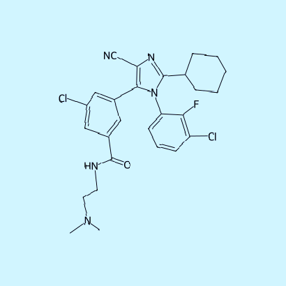 CN(C)CCNC(=O)c1cc(Cl)cc(-c2c(C#N)nc(C3CCCCC3)n2-c2cccc(Cl)c2F)c1